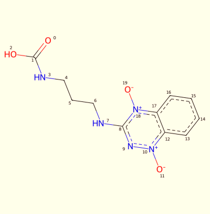 O=C(O)NCCCNc1n[n+]([O-])c2ccccc2[n+]1[O-]